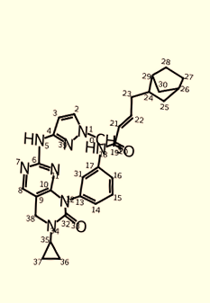 Cn1ccc(Nc2ncc3c(n2)N(c2cccc(NC(=O)/C=C/CC4CC5CCC4C5)c2)C(=O)N(C2CC2)C3)n1